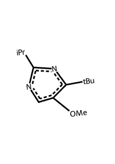 COc1cnc(C(C)C)nc1C(C)(C)C